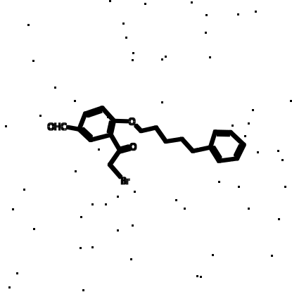 O=Cc1ccc(OCCCCCc2ccccc2)c(C(=O)CBr)c1